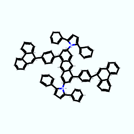 C1=CCCC(c2ccc(-c3ccccc3)n2-c2cc(-c3ccc(-c4cc5ccccc5c5ccccc45)cc3)c3cc4cc(-n5c(-c6ccccc6)ccc5-c5ccccc5)cc(-c5ccc(-c6cc7ccccc7c7ccccc67)cc5)c4cc3c2)=C1